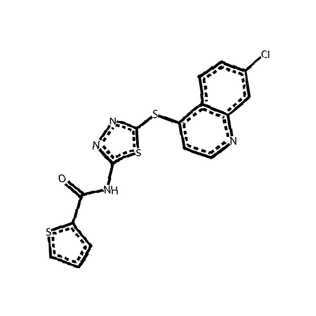 O=C(Nc1nnc(Sc2ccnc3cc(Cl)ccc23)s1)c1cccs1